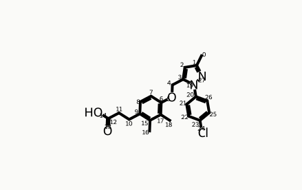 Cc1cc(COc2ccc(CCC(=O)O)c(C)c2C)n(-c2ccc(Cl)cc2)n1